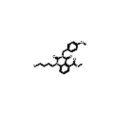 COC(=O)c1cccc2c1c(=O)n(Cc1ccc(OC)cc1)c(=O)n2CCCCBr